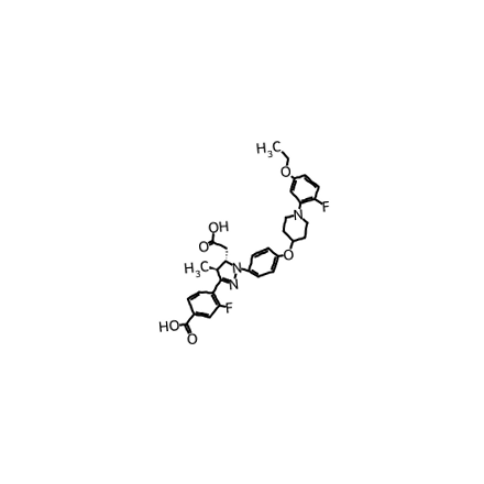 CCOc1ccc(F)c(N2CCC(Oc3ccc(N4N=C(c5ccc(C(=O)O)cc5F)[C@@H](C)[C@@H]4CC(=O)O)cc3)CC2)c1